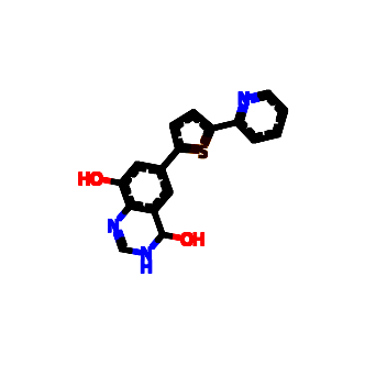 Oc1cc(-c2ccc(-c3ccccn3)s2)cc2c1N=CNC2O